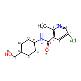 Cc1ncc(Cl)cc1C(=O)NC1CCC(CO)CC1